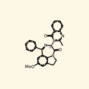 COc1cc2c3c(c1)C(c1ccccc1)=N[C@@H](n1c(C)nc4ccccc4c1=O)C(=O)N3CC2